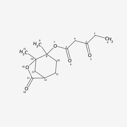 CCC(=O)CC(=O)OC1(C)CCC2CC1(C)OC2=O